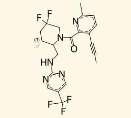 CC#Cc1ccc(C)nc1C(=O)N1CC(F)(F)C[C@@H](C)C1CNc1ncc(C(F)(F)F)cn1